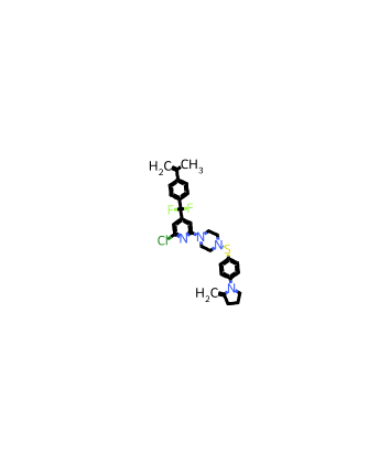 C=C(C)c1ccc(C(F)(F)c2cc(Cl)nc(N3CCN(Sc4ccc(N5CCCC5=C)cc4)CC3)c2)cc1